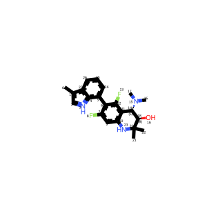 Cc1c[nH]c2c(-c3c(F)cc4c(c3F)[C@H](N(C)C)[C@@H](O)C(C)(C)N4)cccc12